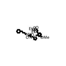 CCN(CC)S(=O)(=O)C(=O)CCc1ccc(OC)cc1CN1CCCC1c1nc(C(=O)NCCCCC2CCCCC2)co1